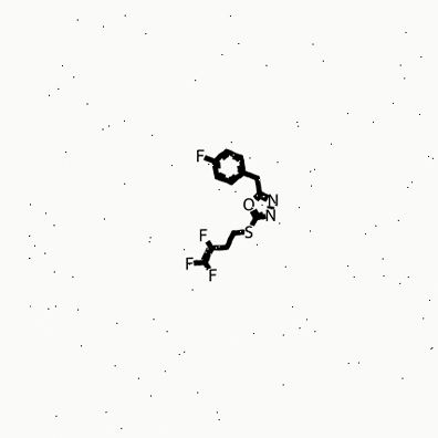 FC(F)=C(F)CCSc1nnc(Cc2ccc(F)cc2)o1